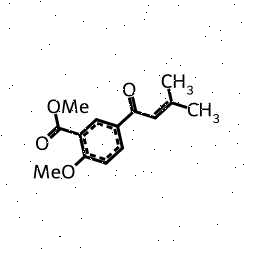 COC(=O)c1cc(C(=O)C=C(C)C)ccc1OC